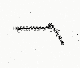 O=CCOCCOCCNCC[C@@H](C=O)NC(=O)CCCCCCCCCCCCCCCCCCC(=O)O